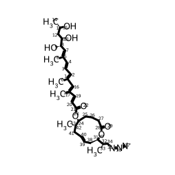 CC(=C\C=C\C(C)=C\[C@H](O)[C@@H](O)C[C@H](C)O)/C=C(C)/C=C/C(=O)O[C@H]1CCCC(=O)O[C@@H]([C@@H](C)CN=[N+]=[N-])C/C=C/C[C@@H]1C